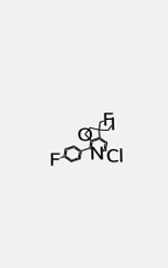 FCC1(CI)COc2c1cc(Cl)nc2-c1ccc(F)cc1